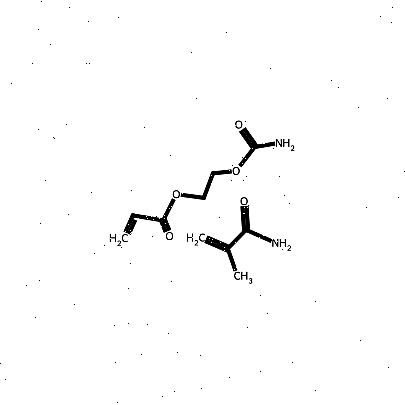 C=C(C)C(N)=O.C=CC(=O)OCCOC(N)=O